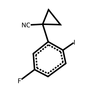 N#CC1(c2cc(F)ccc2I)CC1